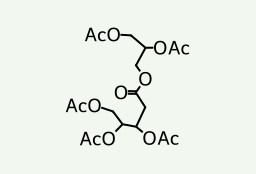 CC(=O)OCC(COC(=O)CC(OC(C)=O)C(COC(C)=O)OC(C)=O)OC(C)=O